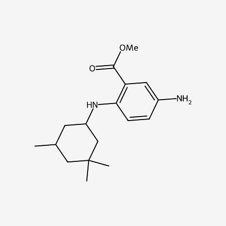 COC(=O)c1cc(N)ccc1NC1CC(C)CC(C)(C)C1